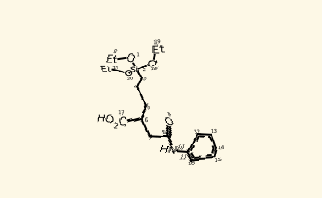 CCO[Si](CCCC(CC(=O)Nc1ccccc1)C(=O)O)(OCC)OCC